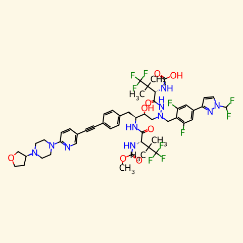 COC(=O)N[C@H](C(=O)N[C@@H](Cc1ccc(C#Cc2ccc(N3CCN([C@H]4CCOC4)CC3)nc2)cc1)[C@@H](O)CN(Cc1c(F)cc(-c2ccn(C(F)F)n2)cc1F)NC(=O)[C@@H](NC(=O)O)C(C)(C)C(F)(F)F)C(C)(C)C(F)(F)F